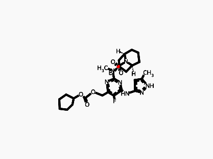 CCS(=O)(=O)N1[C@@H]2CCC[C@H]1C[C@H](N(C)c1nc(COC(=O)OC3CCCCC3)c(F)c(Nc3cc(C)[nH]n3)n1)C2